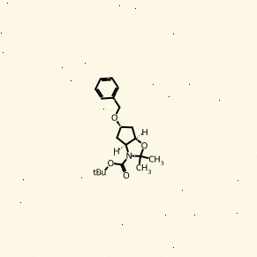 CC(C)(C)OC(=O)N1[C@H]2C[C@@H](OCc3ccccc3)C[C@H]2OC1(C)C